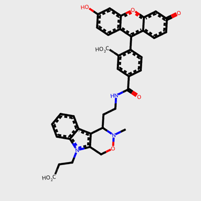 CN1OCc2c(c3ccccc3n2CCC(=O)O)C1CCNC(=O)c1ccc(-c2c3ccc(=O)cc-3oc3cc(O)ccc23)c(C(=O)O)c1